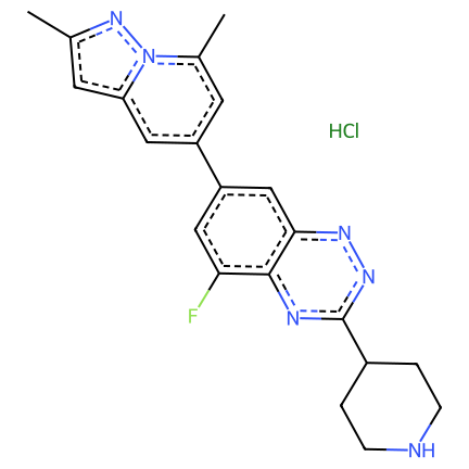 Cc1cc2cc(-c3cc(F)c4nc(C5CCNCC5)nnc4c3)cc(C)n2n1.Cl